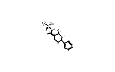 CCC1OC(c2ccccc2)CC/C1=C(\C)OS(=O)(=O)C(F)(F)F